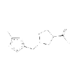 NC(=O)C1CCN(Cc2cnc(Cl)s2)C1